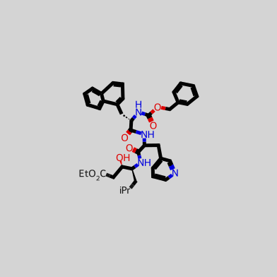 CCOC(=O)C[C@H](O)[C@H](CC(C)C)NC(=O)C(Cc1cccnc1)NC(=O)[C@H](Cc1cccc2ccccc12)NC(=O)OCc1ccccc1